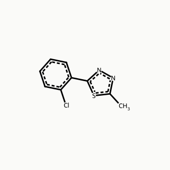 Cc1nnc(-c2ccccc2Cl)s1